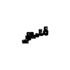 Cn1nc(C(C)(C)C)cc1C(=O)N[C@H]1C[C@H](NCc2cccc(Cl)c2)C1